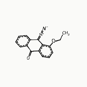 CCOc1cccc2c1C(=[N+]=[N-])c1ccccc1C2=O